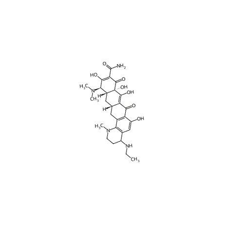 CCNC1CCN(C)c2c1cc(O)c1c2C[C@@H]2C[C@@H]3[C@@H](N(C)C)C(O)=C(C(N)=O)C(=O)[C@@]3(O)C(O)=C2C1=O